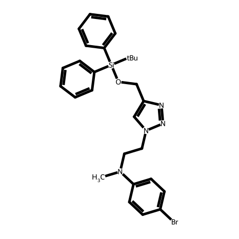 CN(CCn1cc(CO[Si](c2ccccc2)(c2ccccc2)C(C)(C)C)nn1)c1ccc(Br)cc1